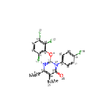 CNc1nc(Oc2c(F)ccc(F)c2F)n(-c2ccc(F)cc2)c(=O)c1NC